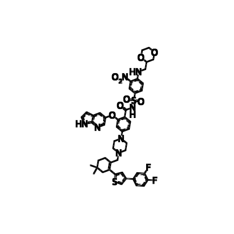 CC1(C)CCC(CN2CCN(c3ccc(C(=O)NS(=O)(=O)c4ccc(NCC5COCCO5)c([N+](=O)[O-])c4)c(Oc4cnc5[nH]ccc5c4)c3)CC2)=C(c2cc(-c3ccc(F)c(F)c3)cs2)C1